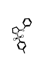 Cc1ccc(S(=O)(=O)N2CCCC2Sc2ccccc2)cc1